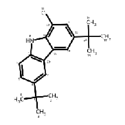 CC(C)(C)c1ccc2[nH]c3c(Cl)cc(C(C)(C)C)cc3c2c1